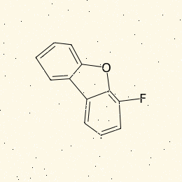 Fc1c[c]cc2c1oc1ccccc12